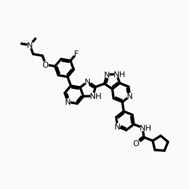 CN(C)CCOc1cc(F)cc(-c2cncc3[nH]c(-c4n[nH]c5cnc(-c6cncc(NC(=O)C7CCCC7)c6)cc45)nc23)c1